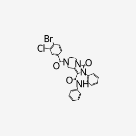 O=C(Nc1ccccc1)c1c2n(c(=O)n1-c1ccccc1)CCN(C(=O)c1ccc(Br)c(Cl)c1)C2